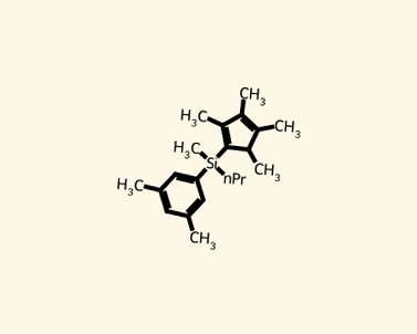 CCC[Si](C)(C1=C(C)C(C)=C(C)C1C)c1cc(C)cc(C)c1